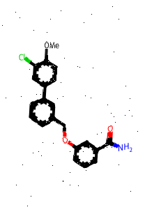 COc1ccc(-c2cccc(COc3cccc(C(N)=O)c3)c2)cc1Cl